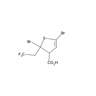 O=C(O)C1C=C(Br)SC1(Br)CC(F)(F)F